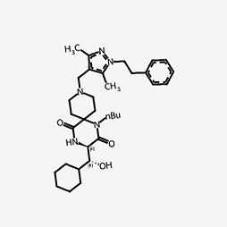 CCCCN1C(=O)[C@@H]([C@H](O)C2CCCCC2)NC(=O)C12CCN(Cc1c(C)nn(CCc3ccccc3)c1C)CC2